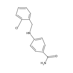 NC(=O)c1ccc(NCc2ccccc2Cl)cc1